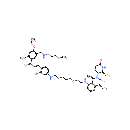 C=Cc1cccc(NCCOCCCCCNc2ccc(/C=C/C(=C)c3cc(CNCCCCC)c(OCC)cc3C)c(Cl)c2)c1C(=C)N(C)C1CCC(=O)NC1=C